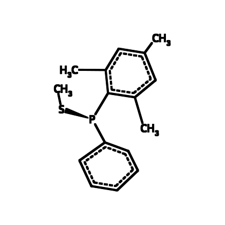 CS[P@](c1ccccc1)c1c(C)cc(C)cc1C